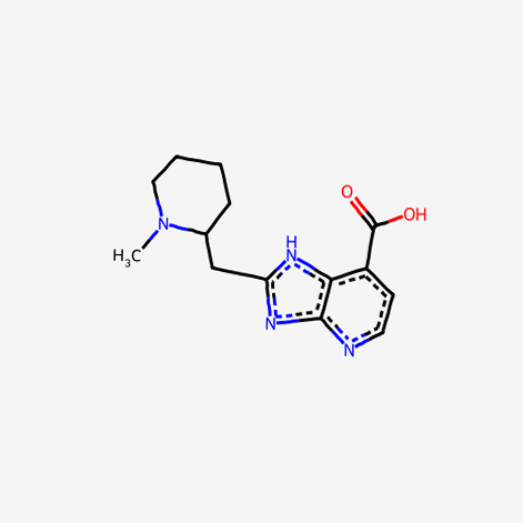 CN1CCCCC1Cc1nc2nccc(C(=O)O)c2[nH]1